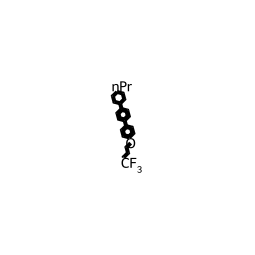 CCCC1CCC(c2ccc(-c3ccc(OCCCC(F)(F)F)cc3)cc2)CC1